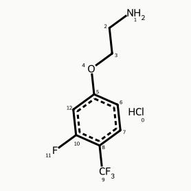 Cl.NCCOc1ccc(C(F)(F)F)c(F)c1